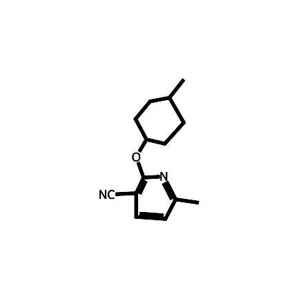 Cc1ccc(C#N)c(OC2CCC(C)CC2)n1